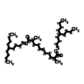 CCCCC(CCCC)CCCSOC(=O)C(C)CCCSCCCC(C)C(=O)OSCCCC(CCCC)CCCC